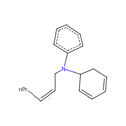 CCC/C=C\CN(c1ccccc1)C1C=CC=CC1